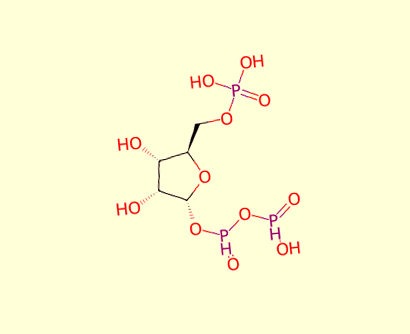 O=[PH](O)O[PH](=O)O[C@H]1O[C@H](COP(=O)(O)O)[C@@H](O)[C@H]1O